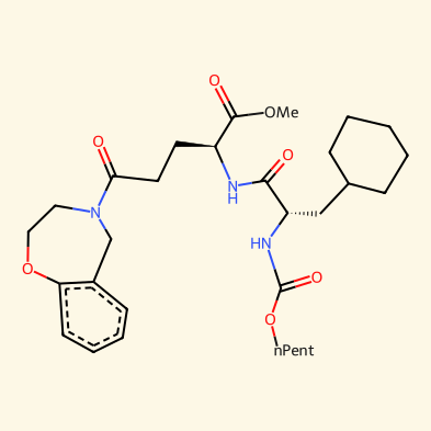 CCCCCOC(=O)N[C@@H](CC1CCCCC1)C(=O)N[C@@H](CCC(=O)N1CCOc2ccccc2C1)C(=O)OC